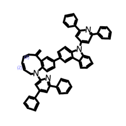 C=C1/C=C\C=C/CN(c2cc(-c3ccccc3)cc(-c3ccccc3)n2)c2ccc(-c3ccc4c(c3)c3ccccc3n4-c3cc(-c4ccccc4)nc(-c4ccccc4)c3)cc21